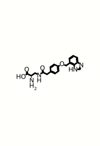 N[C@@H](CNC(=O)Cc1ccc(OCc2cccc3nc[nH]c23)cc1)C(=O)O